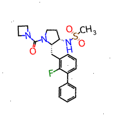 CS(=O)(=O)N[C@H]1CCN(C(=O)N2CCC2)[C@H]1Cc1cccc(-c2ccccc2)c1F